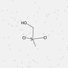 C[Si](Cl)(Cl)CO